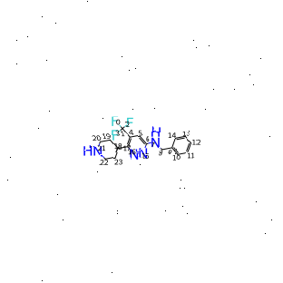 FC(F)(F)c1cc(NCc2ccccc2)nnc1C1CCNCC1